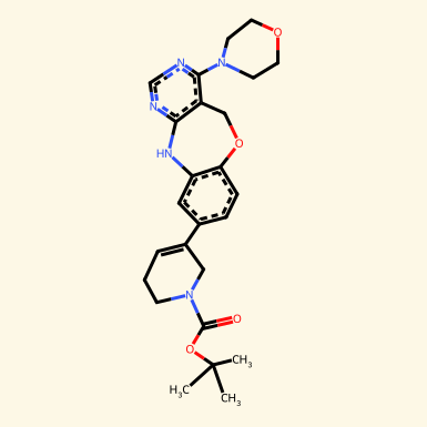 CC(C)(C)OC(=O)N1CCC=C(c2ccc3c(c2)Nc2ncnc(N4CCOCC4)c2CO3)C1